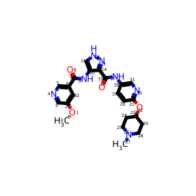 COc1cncc(C(=O)Nc2c[nH]nc2C(=O)Nc2ccc(OC3CCN(C)CC3)nc2)c1